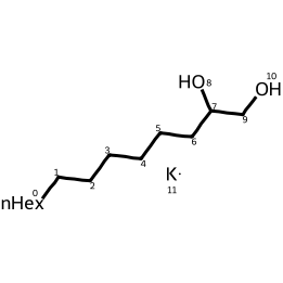 CCCCCCCCCCCCC(O)CO.[K]